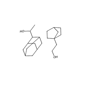 CC(O)C1C2CC3CC(C2)CC1C3.OCCC12CCC(CC1)C2